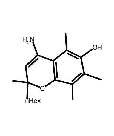 CCCCCCC1(C)C=C(N)c2c(C)c(O)c(C)c(C)c2O1